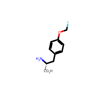 N[C@H](Cc1ccc(OCF)cc1)C(=O)O